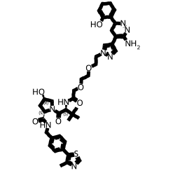 Cc1ncsc1-c1ccc(CNC(=O)[C@@H]2C[C@@H](O)CN2C(=O)[C@@H](NC(=O)COCCOCCn2cc(C3=C(N)N=NC(C4=CCCC=C4O)C3)cn2)C(C)(C)C)cc1